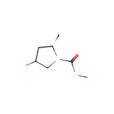 C[C@@H]1CC(O)CN1C(=O)OC(C)(C)C